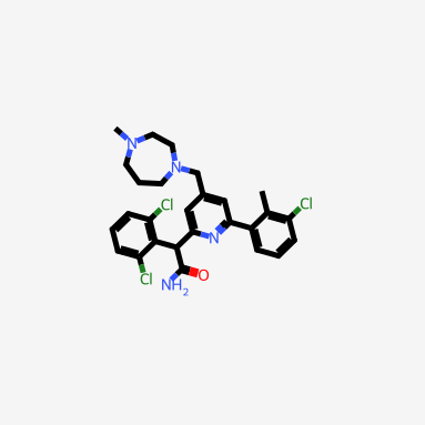 Cc1c(Cl)cccc1-c1cc(CN2CCCN(C)CC2)cc(C(C(N)=O)c2c(Cl)cccc2Cl)n1